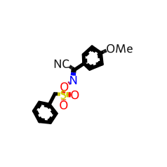 COc1ccc(C(C#N)=NOS(=O)(=O)Cc2ccccc2)cc1